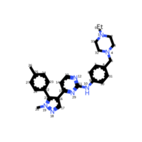 CCN1CCN(Cc2ccc(Nc3nccc(-c4cnn(C)c4-c4ccc(C)cc4)n3)cc2)CC1